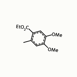 CCOC(=O)c1cc(OC)c(OC)cc1C